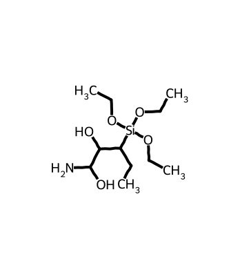 CCO[Si](OCC)(OCC)C(CC)C(O)C(N)O